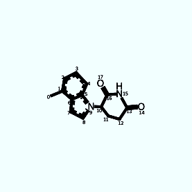 Cc1cccc2c1ccn2C1CCC(=O)NC1=O